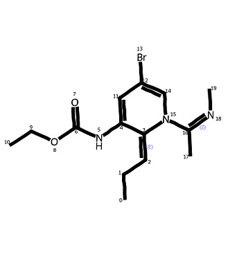 CC/C=C1\C(NC(=O)OCC)=CC(Br)=CN1/C(C)=N\C